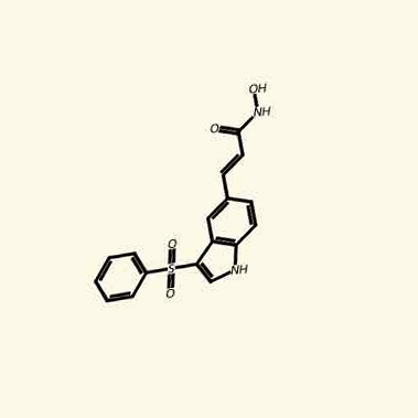 O=C(C=Cc1ccc2[nH]cc(S(=O)(=O)c3ccccc3)c2c1)NO